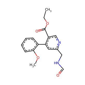 CCOC(=O)c1cnc(CNC=O)cc1-c1ccccc1OC